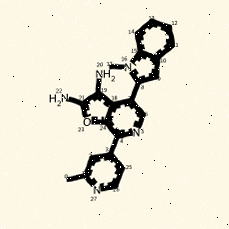 Cc1cc(-c2ncc(-c3cc4ccccc4n3C)c3c(N)c(N)oc23)ccn1